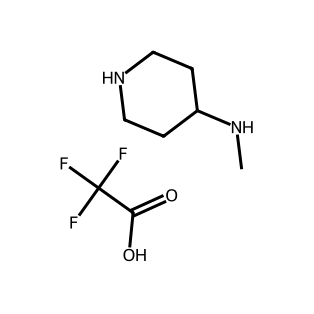 CNC1CCNCC1.O=C(O)C(F)(F)F